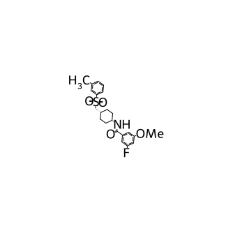 COc1cc(F)cc(C(=O)N[C@H]2CC[C@@H](CS(=O)(=O)c3cccc(C)c3)CC2)c1